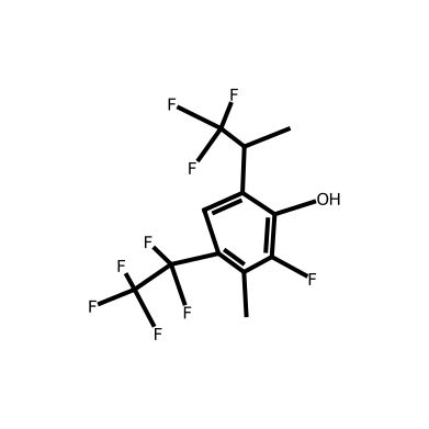 Cc1c(C(F)(F)C(F)(F)F)cc(C(C)C(F)(F)F)c(O)c1F